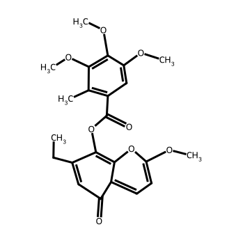 CCc1cc(=O)c2ccc(OC)oc-2c1OC(=O)c1cc(OC)c(OC)c(OC)c1C